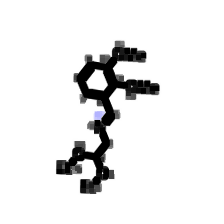 CCOC(C/N=C/c1cccc(OC)c1OC)OCC